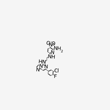 Nc1nc(NCCNc2nc(-c3ccc(F)c(Cl)c3)cc3nccn23)ccc1[N+](=O)[O-]